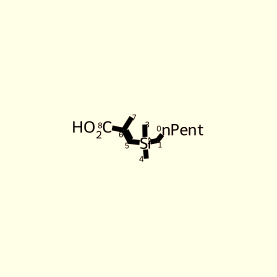 CCCCCC[Si](C)(C)C=C(C)C(=O)O